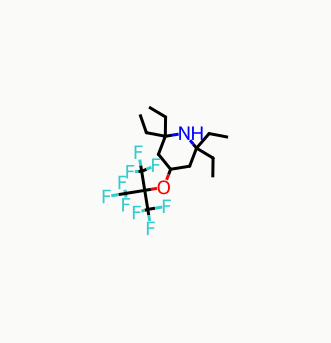 CCC1(CC)CC(OC(C(F)(F)F)(C(F)(F)F)C(F)(F)F)CC(CC)(CC)N1